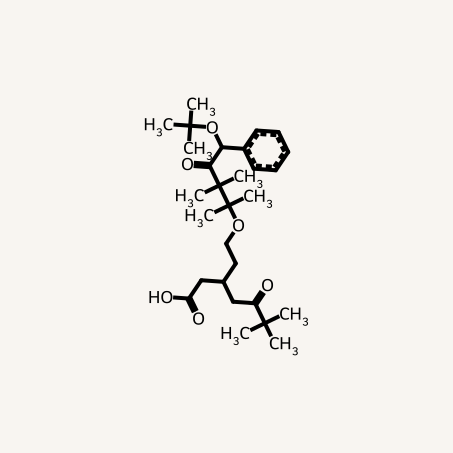 CC(C)(C)OC(C(=O)C(C)(C)C(C)(C)OCCC(CC(=O)O)CC(=O)C(C)(C)C)c1ccccc1